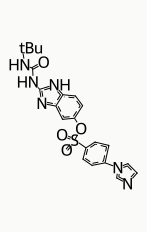 CC(C)(C)NC(=O)Nc1nc2cc(OS(=O)(=O)c3ccc(-n4ccnc4)cc3)ccc2[nH]1